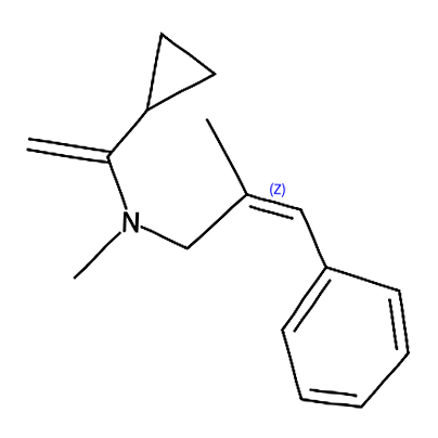 C=C(C1CC1)N(C)C/C(C)=C\c1ccccc1